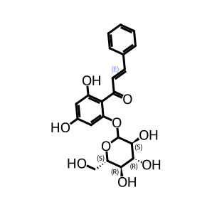 O=C(/C=C/c1ccccc1)c1c(O)cc(O)cc1OC1O[C@@H](CO)[C@H](O)[C@@H](O)[C@@H]1O